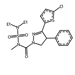 CCN(CC)S(=O)(=O)N(C)C(=O)N1CC(c2ccccc2)C(c2ccc(Cl)s2)=N1